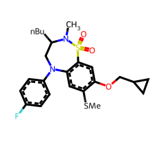 CCCCC1CN(c2ccc(F)cc2)c2cc(SC)c(OCC3CC3)cc2S(=O)(=O)N1C